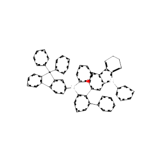 C1=c2c(n(-c3ccccc3)c3cc(-c4c(-c5ccccc5)cccc4N(c4ccccc4)c4ccc5c(c4)C(c4ccccc4)(c4ccccc4)c4ccccc4-5)ccc23)=CCC1